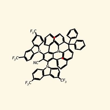 N#Cc1c(-n2c3ccc(C(F)(F)F)cc3c3cc(C(F)(F)F)ccc32)c(-c2ccccc2)c(N2c3ccccc3C(c3ccccc3)(c3ccccc3)c3ccccc32)c(-c2ccccc2)c1-n1c2ccc(C(F)(F)F)cc2c2cc(C(F)(F)F)ccc21